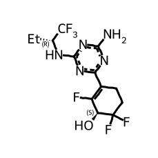 CC[C@@H](Nc1nc(N)nc(C2=C(F)[C@H](O)C(F)(F)CC2)n1)C(F)(F)F